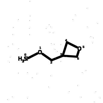 [SiH3]OCC1COC1